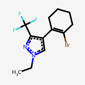 CCn1cc(C2=C(Br)CCCC2)c(C(F)(F)F)n1